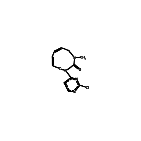 CN1C/C=C\C=C/CN(c2ccnc(Cl)n2)C1=O